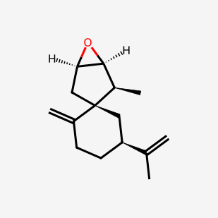 C=C(C)[C@H]1CCC(=C)[C@]2(C1)C[C@H]1O[C@H]1[C@H]2C